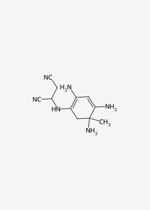 CC1(N)CC(NC(C#N)CC#N)=C(N)C=C1N